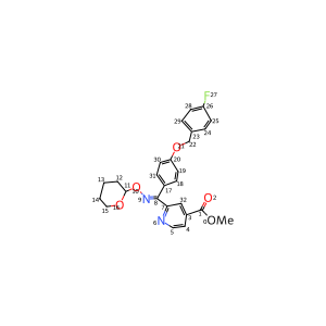 COC(=O)c1ccnc(/C(=N/OC2CCCCO2)c2ccc(OCc3ccc(F)cc3)cc2)c1